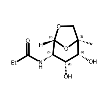 CCC(=O)N[C@@H]1[C@@H]2OC[C@](C)(O2)[C@H](O)[C@@H]1O